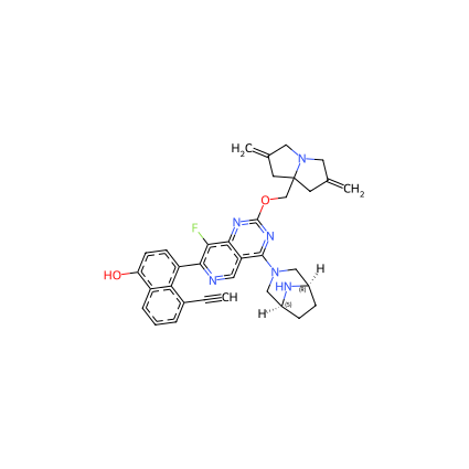 C#Cc1cccc2c(O)ccc(-c3ncc4c(N5C[C@H]6CC[C@@H](C5)N6)nc(OCC56CC(=C)CN5CC(=C)C6)nc4c3F)c12